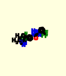 Cn1cnnc1C(F)(F)[C@](C)(F)c1cccc(NC(=O)c2nc3c(C(F)(F)F)cccc3[nH]2)c1